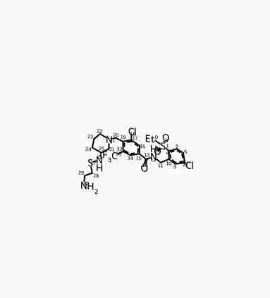 CCS(=O)(=O)c1ccc(Cl)cc1CNC(=O)c1cc(Cl)c(CN2CCC[C@H](NSCCN)C2)c(C(F)(F)F)c1